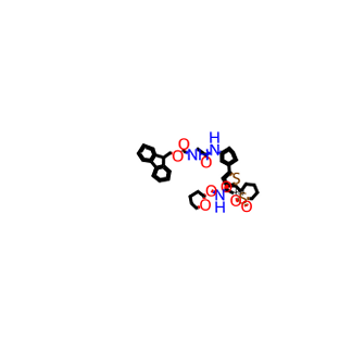 O=C(C[C@]1(c2ccc(-c3cccc(NC(=O)CNC(=O)OCC4c5ccccc5-c5ccccc54)c3)s2)CCCCS1(=O)=O)NOC1CCCCO1